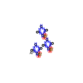 O=S(=O)([O-])c1ccc2c3nc4nc(nc5[nH]c(nc6nc(nc([nH]3)c2c1S(=O)(=O)Cl)-c1ccccc1-6)c1ccccc51)-c1ccccc1-4.O=S(=O)([O-])c1ccc2c3nc4nc(nc5[nH]c(nc6nc(nc([nH]3)c2c1S(=O)(=O)Cl)-c1ccccc1-6)c1ccccc51)-c1ccccc1-4.O=S(=O)([O-])c1ccc2c3nc4nc(nc5[nH]c(nc6nc(nc([nH]3)c2c1S(=O)(=O)Cl)-c1ccccc1-6)c1ccccc51)-c1ccccc1-4.[Al+3]